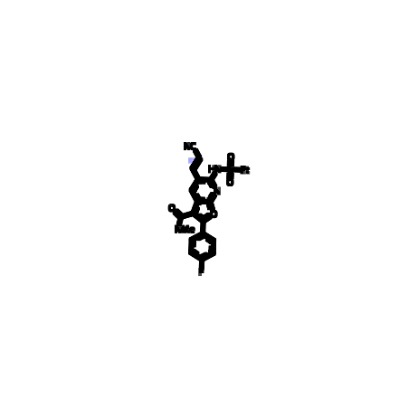 CCS(=O)(=O)Nc1nc2oc(-c3ccc(F)cc3)c(C(=O)NC)c2cc1/C=C/C#N